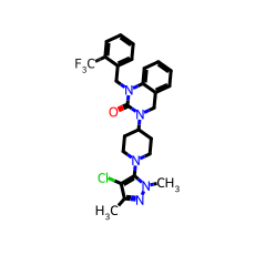 Cc1nn(C)c(N2CCC(N3Cc4ccccc4N(Cc4ccccc4C(F)(F)F)C3=O)CC2)c1Cl